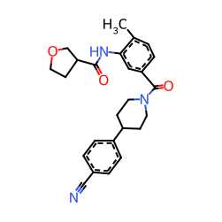 Cc1ccc(C(=O)N2CCC(c3ccc(C#N)cc3)CC2)cc1NC(=O)C1CCOC1